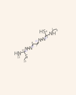 CCN/C(S)=N/N=C/C=N/N=C(/NC)SC